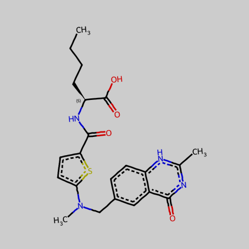 CCCC[C@H](NC(=O)c1ccc(N(C)Cc2ccc3[nH]c(C)nc(=O)c3c2)s1)C(=O)O